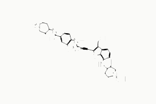 COc1cc(C(=O)NC2CCN(C)CC2F)ccc1NCC#Cc1sc2c(NC3CCN(C)CC3F)cccc2c1CC(F)(F)F